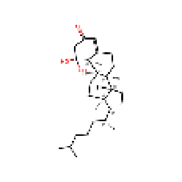 CC(C)CCC[C@@H](C)[C@H]1CC[C@H]2[C@@H]3CCC4=CC(=O)CC(O)(O)[C@]4(C)[C@H]3CC[C@]12C